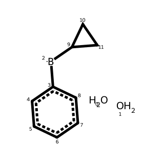 O.O.[B](c1ccccc1)C1CC1